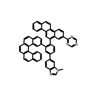 Cn1cnc2ccc(-c3ccc(-c4cc5c6ccccc6ccc5c5ccc(-c6ncncn6)cc45)c(-c4ccc5ccc6ccc7ccc8ccccc8c7c6c5c4)c3)cc21